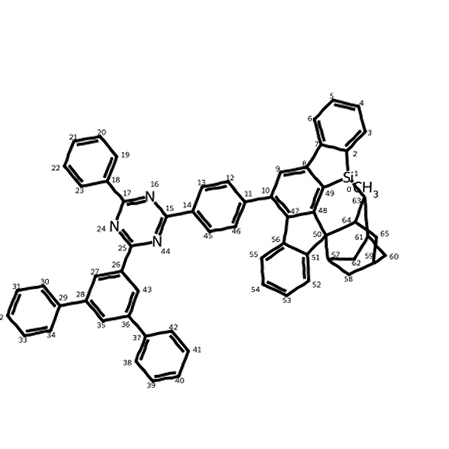 C[Si]12c3ccccc3-c3cc(-c4ccc(-c5nc(-c6ccccc6)nc(-c6cc(-c7ccccc7)cc(-c7ccccc7)c6)n5)cc4)c4c(c31)C1(c3ccccc3-4)C3CC4CC(C3)C2C1C4